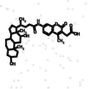 Cc1c(CC(=O)O)c(=O)oc2cc(NC(=O)CCC(C)C3CCC4C5CCC6CC(O)CCC6(C)C5CC(O)C34C)ccc12